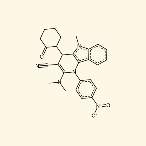 CN(C)C1=C(C#N)C(C2CCCCC2=O)c2c(c3ccccc3n2C)N1c1ccc([N+](=O)[O-])cc1